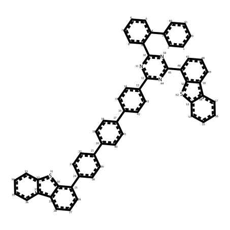 c1ccc(-c2ccccc2-c2nc(-c3ccc(-c4ccc(-c5ccc(-c6cccc7c6sc6ccccc67)cc5)cc4)cc3)nc(-c3cccc4c3sc3ccccc34)n2)cc1